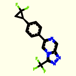 FC(F)(F)c1nnc2cnc(-c3ccc([C@H]4CC4(F)F)cc3)cn12